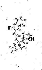 CC#N.CC(C)N(CCCc1c(C2(F)CCC2)cccc1C1(F)CCC1)Cc1ccccc1